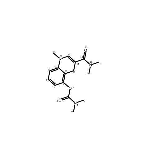 CN(C)C(=O)Oc1cccc2c1CC(C(=O)N(C)C)=CN2C